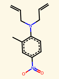 C=CCN(CC=C)c1ccc([N+](=O)[O-])cc1C